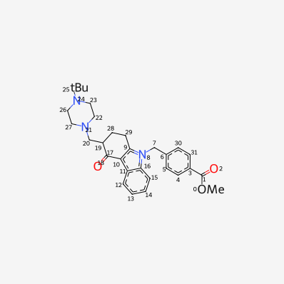 COC(=O)c1ccc(Cn2c3c(c4ccccc42)C(=O)C(CN2CCN(C(C)(C)C)CC2)CC3)cc1